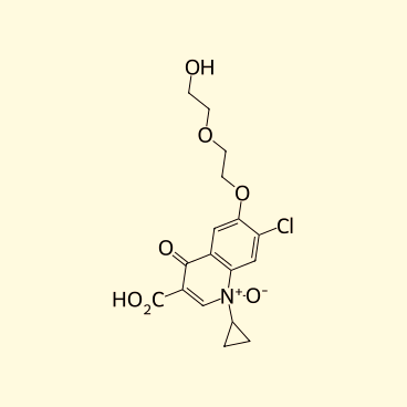 O=C(O)C1=C[N+]([O-])(C2CC2)c2cc(Cl)c(OCCOCCO)cc2C1=O